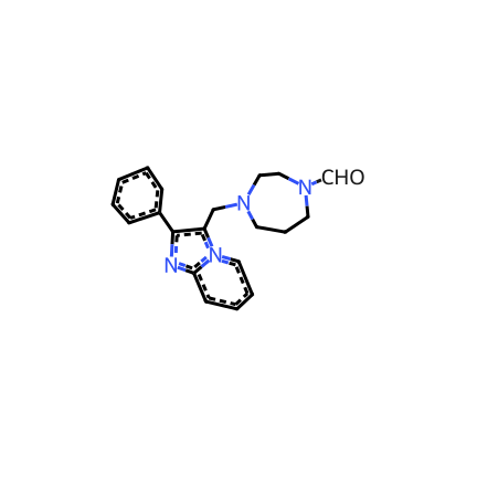 O=CN1CCCN(Cc2c(-c3ccccc3)nc3ccccn23)CC1